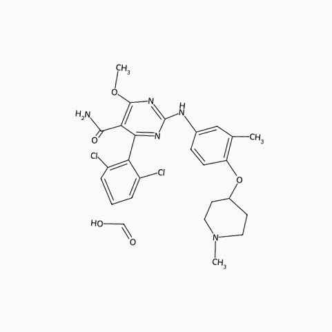 COc1nc(Nc2ccc(OC3CCN(C)CC3)c(C)c2)nc(-c2c(Cl)cccc2Cl)c1C(N)=O.O=CO